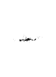 COc1ccc(CCNC(=O)c2cnc(C(=O)NCCc3ccc(OC)c(OC)c3)cn2)cc1OC